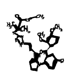 CCOC(=O)C(C)(C)Sc1nnn(CC[C@H]2O[C@H](c3cccc(OC)c3OC)c3cc(Cl)ccc3-n3cccc32)n1